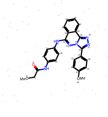 COCC(=O)Nc1ccc(Nc2nn3c(-c4ccc(OC)cc4)nnc3c3ccccc23)cc1